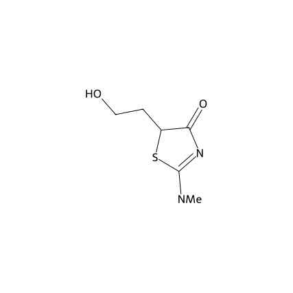 CNC1=NC(=O)C(CCO)S1